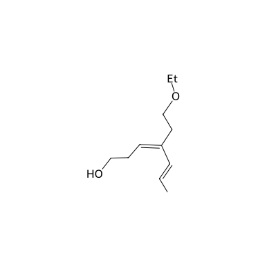 CC=CC(=CCCO)CCOCC